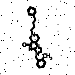 Cc1ccccc1CN1CCn2c1nc(=O)c1c2CCN(CCCCc2ccccc2)C1